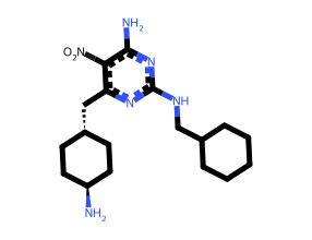 Nc1nc(NCC2CCCCC2)nc(C[C@H]2CC[C@H](N)CC2)c1[N+](=O)[O-]